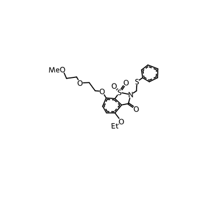 CCOc1ccc(OCCOCCOC)c2c1C(=O)N(CSc1ccccc1)S2(=O)=O